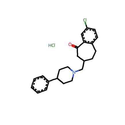 Cl.O=C1CC(CN2CCC(c3ccccc3)CC2)CCc2ccc(Cl)cc21